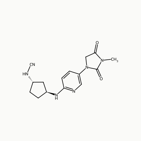 CN1C(=O)CN(c2ccc(N[C@H]3CC[C@H](NC#N)C3)nc2)C1=O